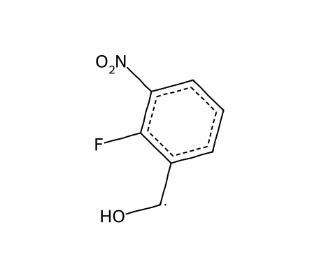 O=[N+]([O-])c1cccc([CH]O)c1F